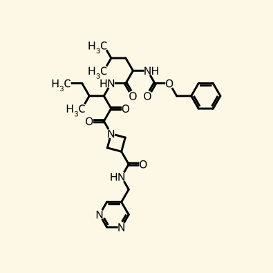 CCC(C)C(NC(=O)C(CC(C)C)NC(=O)OCc1ccccc1)C(=O)C(=O)N1CC(C(=O)NCc2cncnc2)C1